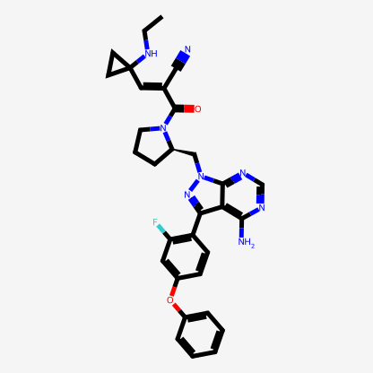 CCNC1(/C=C(\C#N)C(=O)N2CCC[C@@H]2Cn2nc(-c3ccc(Oc4ccccc4)cc3F)c3c(N)ncnc32)CC1